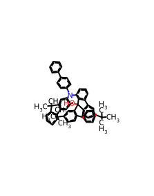 CC(C)(C)c1ccc(-c2ccc(C(C)(C)C)cc2C2(O)c3ccccc3-c3cccc(N(c4ccc(-c5ccccc5)cc4)c4ccc5c(c4)C(C)(C)c4ccccc4-5)c32)cc1